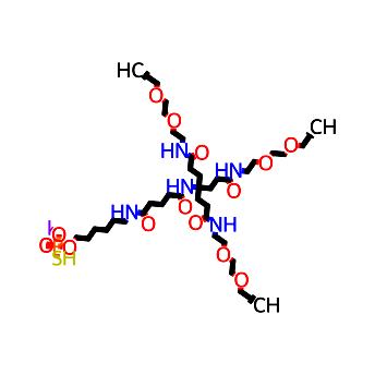 C#CCOCCOCCNC(=O)CCC(CCC(=O)NCCOCCOCC#C)(CCC(=O)NCCOCCOCC#C)NC(=O)CCCC(=O)NCCCCCCOP(=O)(S)OI